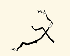 CCCCCCC(C)(C)O[SiH3]